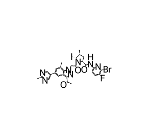 CC(=O)c1nn(CC(=O)N2[C@H](I)[C@@H](C)C[C@H]2C(=O)Nc2ccc(F)c(Br)n2)c2c(C)cc(-c3cnc(C)nc3)cc12